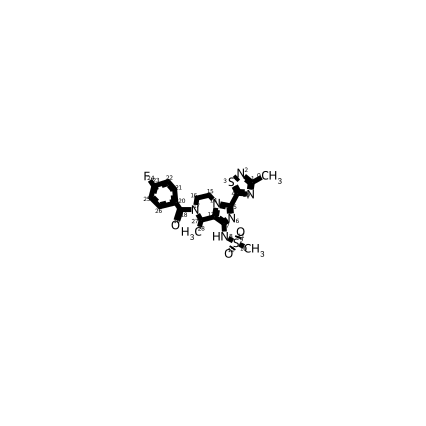 Cc1nsc(-c2nc(NS(C)(=O)=O)c3n2CCN(C(=O)c2ccc(F)cc2)C3C)n1